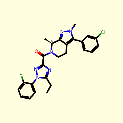 CCc1nc(C(=O)N2CCc3c(nn(C)c3-c3cccc(Cl)c3)[C@@H]2C)nn1-c1ccccc1F